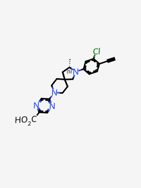 C#Cc1ccc(N2CC3(CCN(c4cnc(C(=O)O)cn4)CC3)C[C@@H]2C)cc1Cl